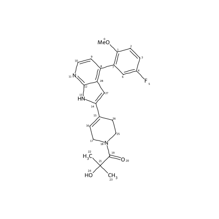 COc1ccc(F)cc1-c1ccnc2[nH]c(C3=CCN(C(=O)C(C)(C)O)CC3)cc12